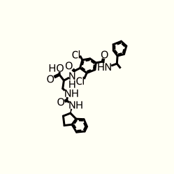 CC(NC(=O)c1cc(Cl)c(C(=O)NC(CNC(=O)N[C@@H]2CCc3ccccc32)C(=O)O)c(Cl)c1)c1ccccc1